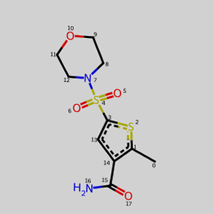 Cc1sc(S(=O)(=O)N2CCOCC2)cc1C(N)=O